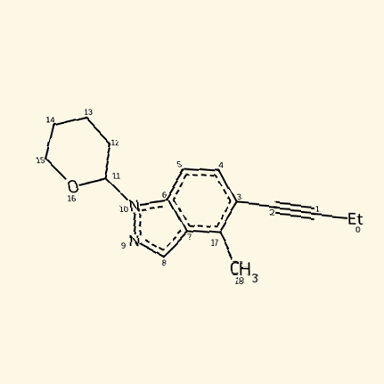 CCC#Cc1ccc2c(cnn2C2CCCCO2)c1C